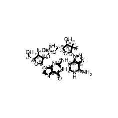 Nc1nc2c(ncn2[C@@H]2O[C@H](CO)[C@@H](F)[C@H]2OP(=O)(S)OC[C@H]2O[C@@H](n3nnc4c3N=CNC4N)C(F)(F)[C@@H]2O)c(=O)[nH]1